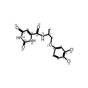 CC(COc1ccc(Cl)c(Cl)c1)NC(=O)c1cc(=O)[nH]c(=O)[nH]1